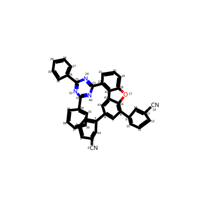 N#Cc1cccc(-c2cc(-c3cccc(C#N)c3)c3oc4cccc(-c5nc(-c6ccccc6)nc(-c6ccccc6)n5)c4c3c2)c1